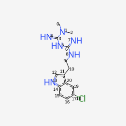 CN(C)C(=N)NC(=N)NCCc1c[nH]c2ccc(Cl)cc12